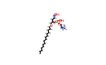 CCCCCCCCCCCCCCCCOCC(CC=NO)COP(O)OCC[N+](C)(C)C